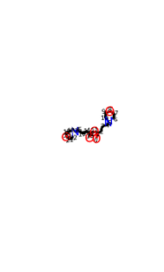 O=C(C=CCN1CCOCC1)OC(=O)C=CCN1CCOCC1